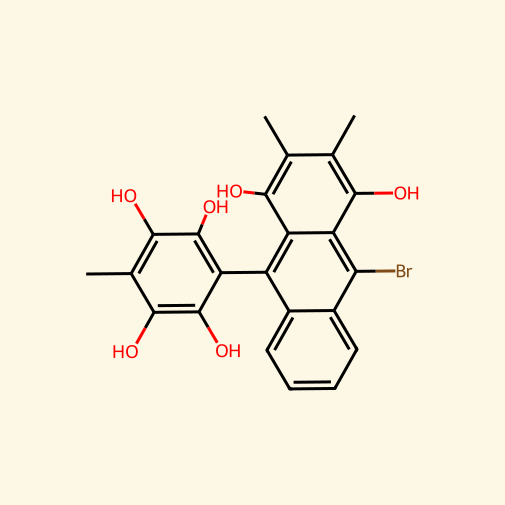 Cc1c(O)c(O)c(-c2c3ccccc3c(Br)c3c(O)c(C)c(C)c(O)c23)c(O)c1O